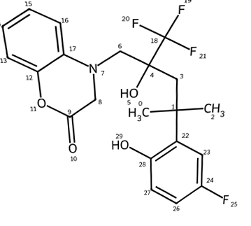 CC(C)(CC(O)(CN1CC(=O)Oc2ccccc21)C(F)(F)F)c1cc(F)ccc1O